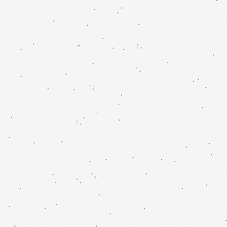 O=C(Nc1cc(-c2cc3ccccc3s2)c2[nH]ncc2c1)C(=O)N1CCC(Oc2ncccn2)CC1